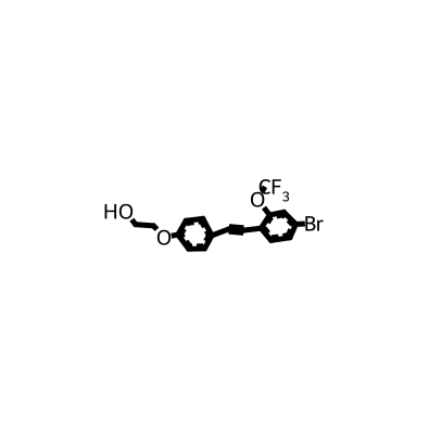 OCCOc1ccc(C#Cc2ccc(Br)cc2OC(F)(F)F)cc1